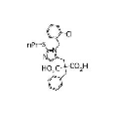 CCCSc1ncc(CC(Cc2ccccc2)(C(=O)O)C(=O)O)n1Cc1ccccc1Cl